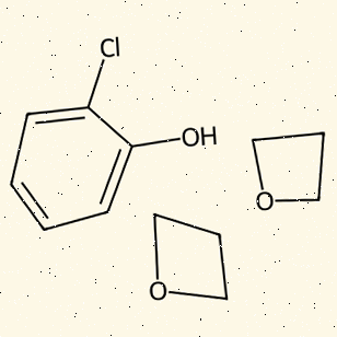 C1COC1.C1COC1.Oc1ccccc1Cl